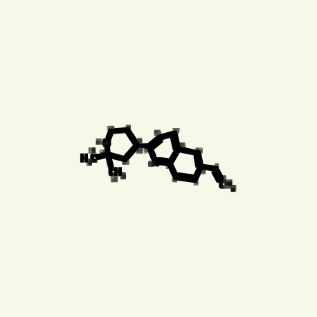 C=Cc1ccc2nc([C@@H]3CCOC(C)(C)C3)ccc2c1